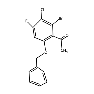 CC(=O)c1c(OCc2ccccc2)cc(F)c(Cl)c1Br